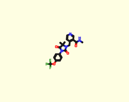 CNC(=O)c1cnccc1CN1C(=O)N(c2ccc(OC(F)(F)F)cc2)C(=O)C1(C)C